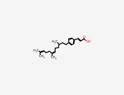 CC(C)=CCCC(C)=CCCC(C)CCc1ccc(/C=C/C(=O)O)cc1